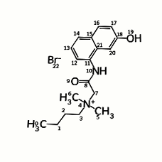 CCCC[N+](C)(C)CC(=O)Nc1cccc2ccc(O)cc12.[Br-]